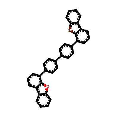 c1ccc2c(c1)oc1c(-c3ccc(-c4ccc(-c5cccc6c5sc5ccccc56)cc4)cc3)cccc12